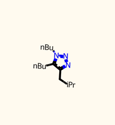 CCCCc1c(CC(C)C)nnn1CCCC